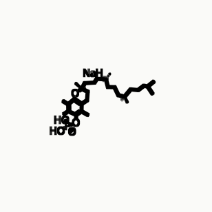 Cc1c(C)c2c(c(C)c1OP(=O)(O)O)CC[C@@](C)(CCC[C@H](C)CCC[C@H](C)CCCC(C)C)O2.[NaH]